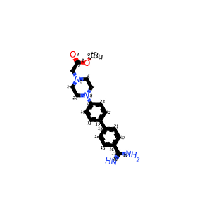 CC(C)(C)OC(=O)CN1CCN(c2ccc(-c3ccc(C(=N)N)cc3)cc2)CC1